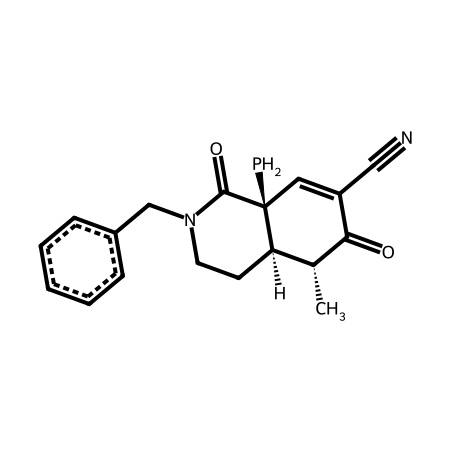 C[C@H]1C(=O)C(C#N)=C[C@@]2(P)C(=O)N(Cc3ccccc3)CC[C@H]12